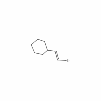 BrC=CC1CCCCC1